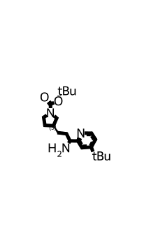 CC(C)(C)OC(=O)N1CC[C@H](CCC(N)c2cc(C(C)(C)C)ccn2)C1